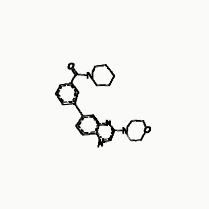 O=C(c1cccc(-c2ccc3ncc(N4CCOCC4)nc3c2)c1)N1CCCCC1